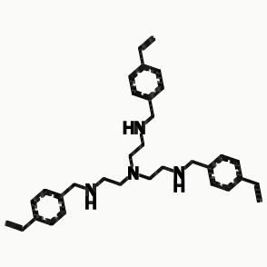 C=Cc1ccc(CNCCN(CCNCc2ccc(C=C)cc2)CCNCc2ccc(C=C)cc2)cc1